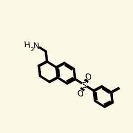 Cc1cccc(S(=O)(=O)c2ccc3c(c2)CCCC3CN)c1